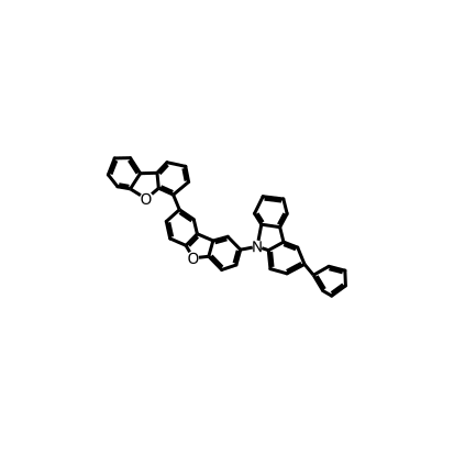 c1ccc(-c2ccc3c(c2)c2ccccc2n3-c2ccc3oc4ccc(-c5cccc6c5oc5ccccc56)cc4c3c2)cc1